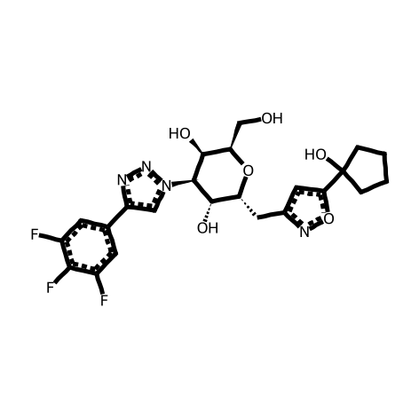 OC[C@H]1O[C@H](Cc2cc(C3(O)CCCC3)on2)[C@H](O)[C@@H](n2cc(-c3cc(F)c(F)c(F)c3)nn2)[C@H]1O